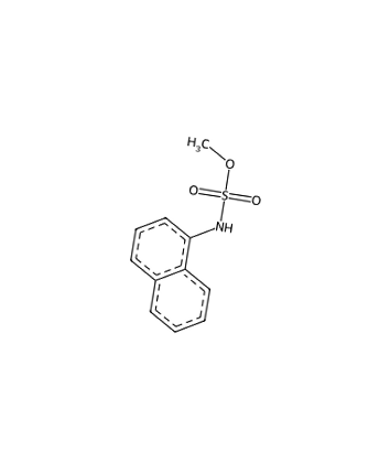 COS(=O)(=O)Nc1cccc2ccccc12